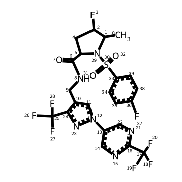 CC1C(F)CC(C(=O)NCc2cn(-c3cnc(C(F)(F)F)nc3)nc2C(F)(F)F)N1S(=O)(=O)c1ccc(F)cc1